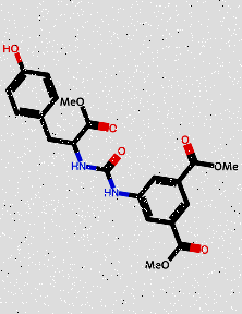 COC(=O)c1cc(NC(=O)NC(Cc2ccc(O)cc2)C(=O)OC)cc(C(=O)OC)c1